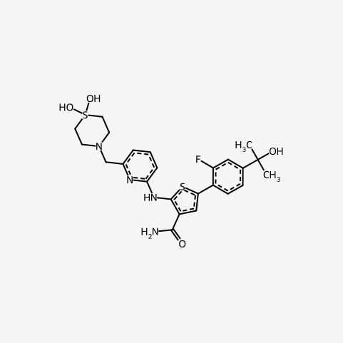 CC(C)(O)c1ccc(-c2cc(C(N)=O)c(Nc3cccc(CN4CCS(O)(O)CC4)n3)s2)c(F)c1